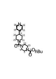 CCCCOC(=O)N1CCN(C(=O)N2CCC(c3ccncc3)CC2)CC1